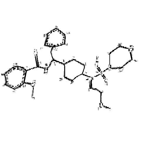 COCCN(C1CCC(C(NC(=O)c2ccccc2OC)c2ccccc2)CC1)S(=O)(=O)N1CCOCC1